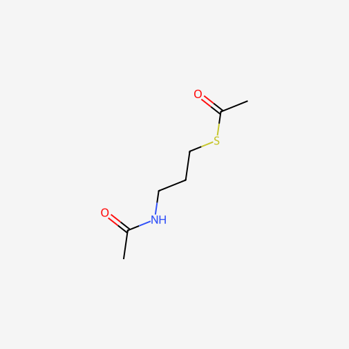 CC(=O)NCCCSC(C)=O